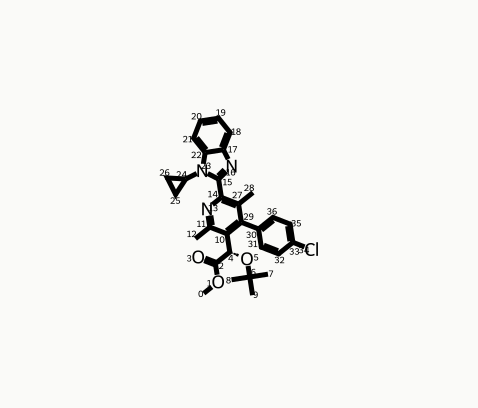 COC(=O)[C@@H](OC(C)(C)C)c1c(C)nc(-c2nc3ccccc3n2C2CC2)c(C)c1-c1ccc(Cl)cc1